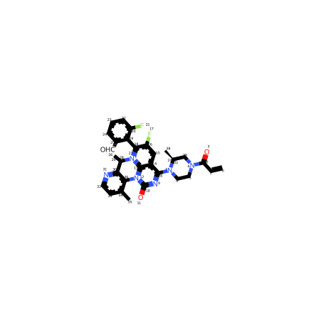 C=CC(=O)N1CCN(c2nc(=O)n3c4c2cc(F)c(-c2c(F)cccc2C=O)[n+]4C(C)c2nccc(C)c2-3)[C@@H](C)C1